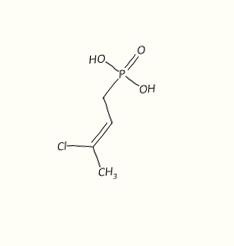 CC(Cl)=CCP(=O)(O)O